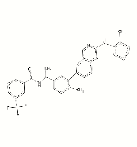 Cc1ccccc1Nc1ncc2cc(-c3cc(C(C)NC(=O)c4cccc(C(F)(F)F)c4)ccc3C)ccc2n1